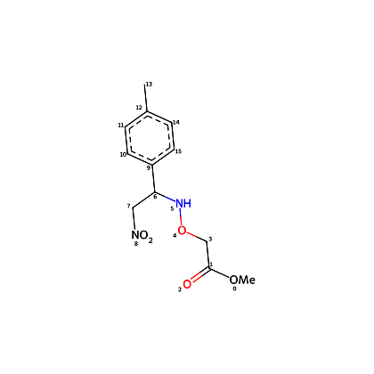 COC(=O)CONC(C[N+](=O)[O-])c1ccc(C)cc1